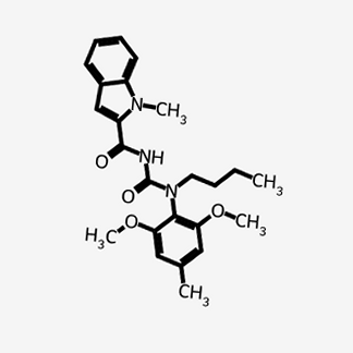 CCCCN(C(=O)NC(=O)c1cc2ccccc2n1C)c1c(OC)cc(C)cc1OC